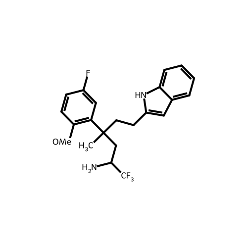 COc1ccc(F)cc1C(C)(CCc1cc2ccccc2[nH]1)CC(N)C(F)(F)F